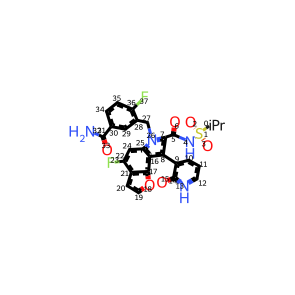 CC(C)S(=O)(=O)NC(=O)c1c(-c2ccc[nH]c2=O)c2c3occc3c(F)cc2n1Cc1cc(C(N)=O)ccc1F